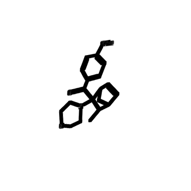 COc1ccc(C(=O)C2(N3CCOCC3)C3C=CC(C3)C2C)cc1